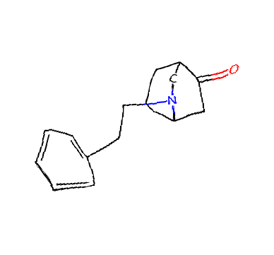 O=C1CC2CCC1CN2CCc1ccccc1